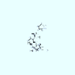 CS(=O)(=O)c1cc2c(NC(=O)OCc3ccccc3)ccnc2cc1O